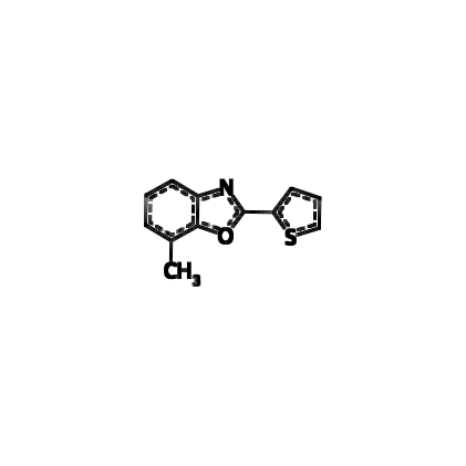 Cc1cccc2nc(-c3cccs3)oc12